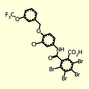 O=C(O)c1c(Br)c(Br)c(Br)c(Br)c1C(=O)Nc1ccc(OCc2cccc(OC(F)(F)F)c2)c(Cl)c1